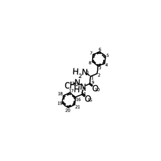 N[C@@H](Cc1ccccc1)C(=O)N(NCl)C(=O)c1ccccc1